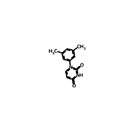 Cc1cc(C)cc(-n2ccc(=O)[nH]c2=O)c1